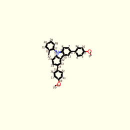 COc1ccc(-c2ccc3c(c2)c2cc(-c4ccc(OC)cc4)ccc2n3-c2ccccc2C)cc1